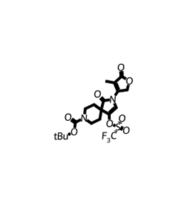 CC1=C(N2C=C(OS(=O)(=O)C(F)(F)F)C3(CCN(C(=O)OC(C)(C)C)CC3)C2=O)COC1=O